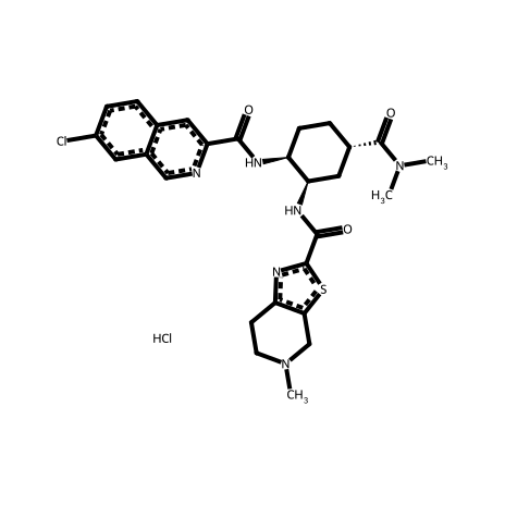 CN1CCc2nc(C(=O)N[C@@H]3C[C@@H](C(=O)N(C)C)CC[C@@H]3NC(=O)c3cc4ccc(Cl)cc4cn3)sc2C1.Cl